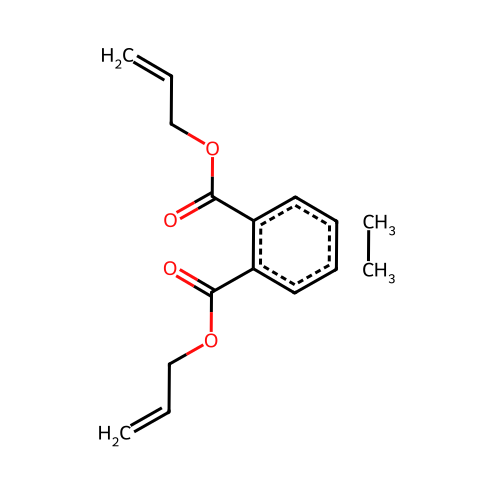 C=CCOC(=O)c1ccccc1C(=O)OCC=C.CC